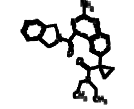 CCN(CC)C(=O)C1(c2ccc3nc(N)nc(C(=O)N4Cc5ccccc5C4)c3c2)CC1